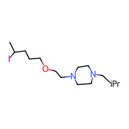 CC(C)CN1CCN(CCOCCCC(C)I)CC1